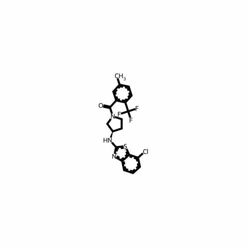 Cc1ccc(C(F)(F)F)c(C(=O)N2CC[C@@H](Nc3nc4cccc(Cl)c4s3)C2)c1